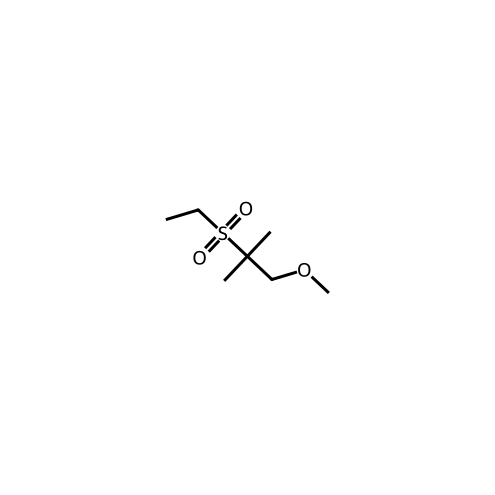 CCS(=O)(=O)C(C)(C)COC